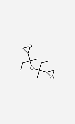 CCC(C)(OC(C)(CC)C1CO1)C1CO1